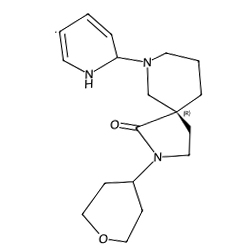 O=C1N(C2CCOCC2)CC[C@@]12CCCN(C1C=C[C]=CN1)C2